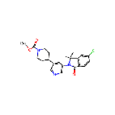 CC(C)(C)OC(=O)N1CCC(c2cncc(N3C(=O)c4ccc(Cl)cc4C3(C)C)c2)CC1